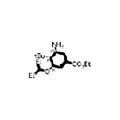 CCOC(=O)C1=C[C@@H](OC(CC)CC)[C@H](C(C)(C)C)[C@@H](N)C1